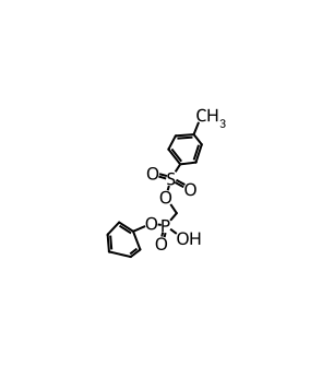 Cc1ccc(S(=O)(=O)OCP(=O)(O)Oc2ccccc2)cc1